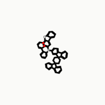 c1ccc(-c2ccccc2N(c2ccc3c(c2)C2(CCC4(CC2)c2ccccc2-c2ccccc24)c2ccccc2-3)c2ccc3oc4ccccc4c3c2)cc1